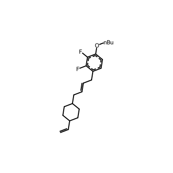 C=CC1CCC(CC=CCc2ccc(OCCCC)c(F)c2F)CC1